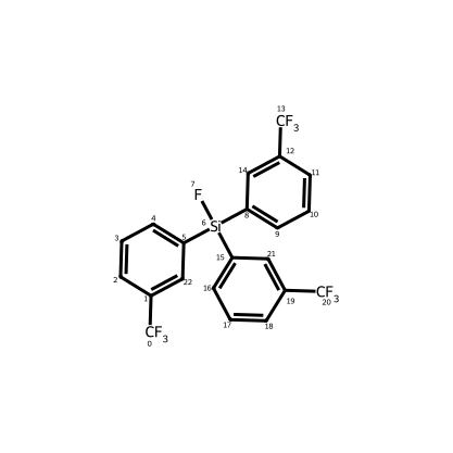 FC(F)(F)c1cccc([Si](F)(c2cccc(C(F)(F)F)c2)c2cccc(C(F)(F)F)c2)c1